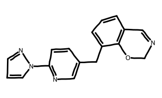 C1=NCOc2c1cccc2Cc1ccc(-n2cccn2)nc1